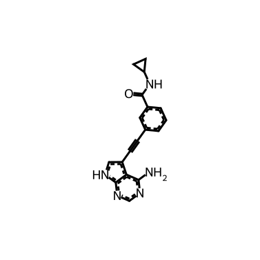 Nc1ncnc2[nH]cc(C#Cc3cccc(C(=O)NC4CC4)c3)c12